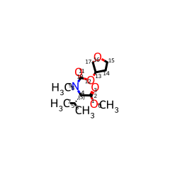 COC(=O)[C@H](C(C)C)N(C)C(=O)OC1CCOC1